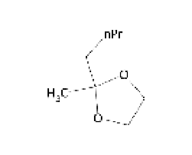 [CH2]CCCC1(C)OCCO1